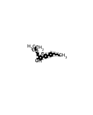 C=C(C)C(=O)OCCCc1cc(-c2ccc(-c3ccc(CCCCC)cc3)cc2C)ccc1CO